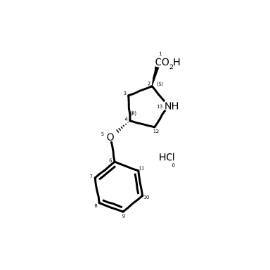 Cl.O=C(O)[C@@H]1C[C@@H](Oc2ccccc2)CN1